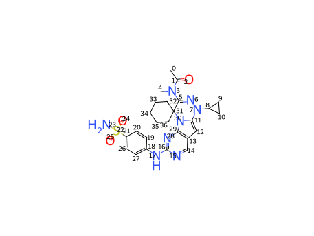 CC(=O)N(C)C1=NN(C2CC2)c2cc3cnc(Nc4ccc(S(N)(=O)=O)cc4)nc3n2C12CCCCC2